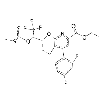 CCOC(=O)c1cc(-c2ccc(F)cc2F)c2c(n1)OC(C(OC(=S)SC)C(F)(F)F)CC2